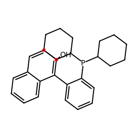 Oc1ccc2ccccc2c1-c1ccccc1P(C1CCCCC1)C1CCCCC1